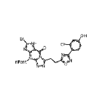 CCCCCn1c2nc(Br)[nH]c2c(=O)n2c(CCc3nc(-c4ccc(O)cc4Cl)no3)nnc12